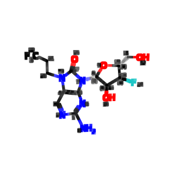 Nc1ncc2c(n1)n([C@@H]1O[C@H](CO)[C@@H](F)[C@H]1O)c(=O)n2CCC(F)(F)F